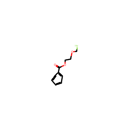 O=C(OCCOC[18F])c1ccccc1